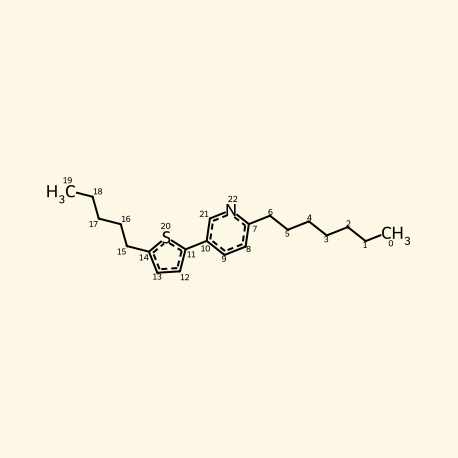 CCCCCCCc1ccc(-c2ccc(CCCCC)s2)cn1